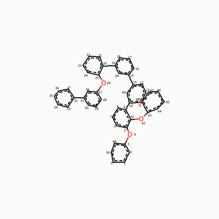 c1ccc(Oc2cccc(-c3cccc(-c4cccc(-c5ccccc5Oc5cccc(-c6ccccc6)c5)c4)c3)c2Oc2ccccc2)cc1